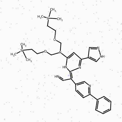 C[Si](C)(C)CCOCN(COCC[Si](C)(C)C)C1=CC(c2cn[nH]c2)=N/C(=C(/C=N)c2ccc(-c3ccccc3)nc2)N1